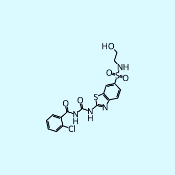 O=C(NC(=O)c1ccccc1Cl)Nc1nc2ccc(S(=O)(=O)NCCO)cc2s1